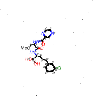 COC[C@@H](NC(=O)c1cnccn1)C(=O)N[C@@H](CCCc1cccc(Cl)c1)B(O)O